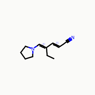 CCC(/C=C/C#N)=C\N1CCCC1